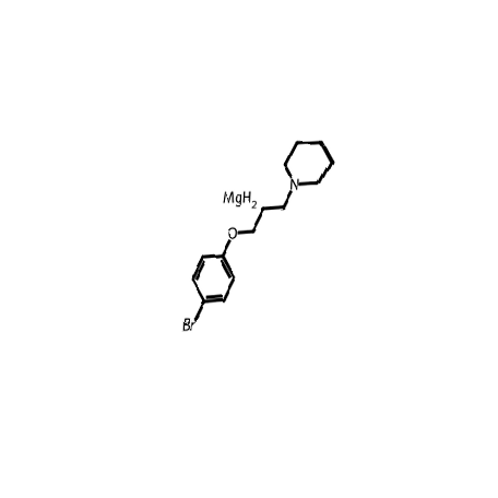 Brc1ccc(OCCCN2CCCCC2)cc1.[MgH2]